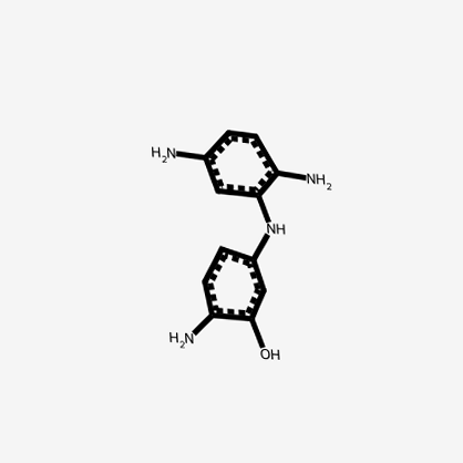 Nc1ccc(N)c(Nc2ccc(N)c(O)c2)c1